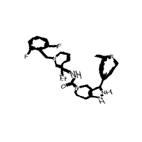 CCC1(NC(=O)N2CCC3=C(C2)C(c2ccnc(C)c2)NN3)CCCN(Cc2c(F)cccc2F)C1